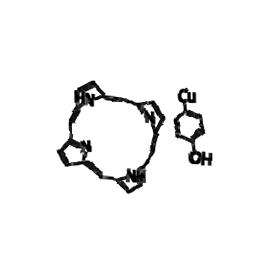 C1=Cc2cc3ccc(cc4nc(cc5ccc(cc1n2)[nH]5)C=C4)[nH]3.Oc1cc[c]([Cu])cc1